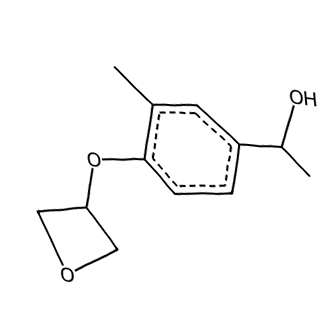 Cc1cc(C(C)O)ccc1OC1COC1